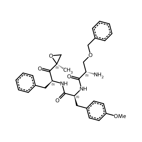 COc1ccc(C[C@H](NC(=O)[C@@H](N)COCc2ccccc2)C(=O)N[C@@H](Cc2ccccc2)C(=O)[C@]2(C)CO2)cc1